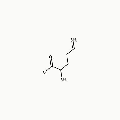 C=CCCC(C)C([O])=O